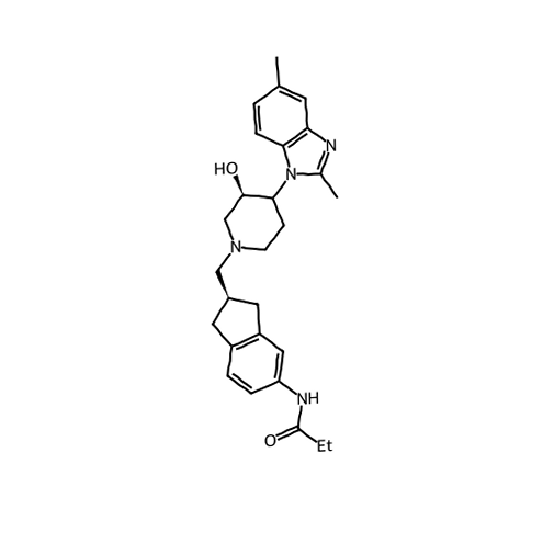 CCC(=O)Nc1ccc2c(c1)C[C@H](CN1CCC(n3c(C)nc4cc(C)ccc43)[C@H](O)C1)C2